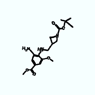 COC(=O)c1cc(N)c(NCC2CN(C(=O)OC(C)(C)C)C2)c(OC)c1